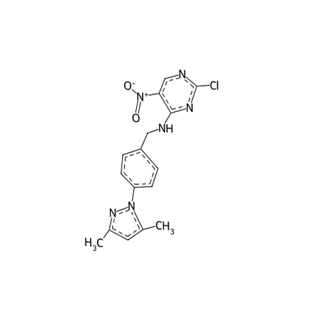 Cc1cc(C)n(-c2ccc(CNc3nc(Cl)ncc3[N+](=O)[O-])cc2)n1